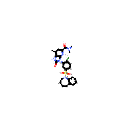 Cc1cc(C(=O)N(C)C)nc2c1[nH]c(=O)n2-c1cc(S(=O)(=O)N2CCCCc3ccccc32)ccc1Cl